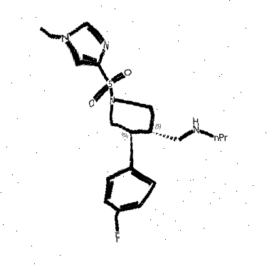 CCCNC[C@H]1CN(S(=O)(=O)c2cn(C)cn2)C[C@@H]1c1ccc(F)cc1